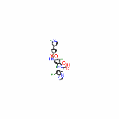 O=C(N[C@@H](Cc1ccc(Br)c2nccnc12)C(=O)O)c1c(F)cc(NS(=O)(=O)c2ccc(-c3ccnc(F)c3)cc2)cc1F